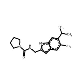 Cc1cc2cc(CNC(=O)N3CCCC3)[nH]c2cc1C(C)C